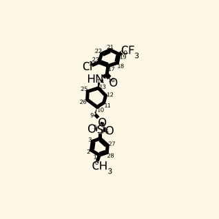 Cc1ccc(S(=O)(=O)OC[C@H]2CC[C@H](NC(=O)c3cc(C(F)(F)F)ccc3Cl)CC2)cc1